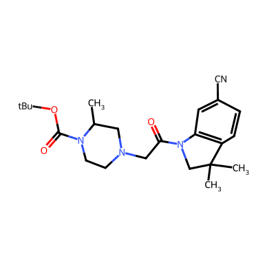 CC1CN(CC(=O)N2CC(C)(C)c3ccc(C#N)cc32)CCN1C(=O)OC(C)(C)C